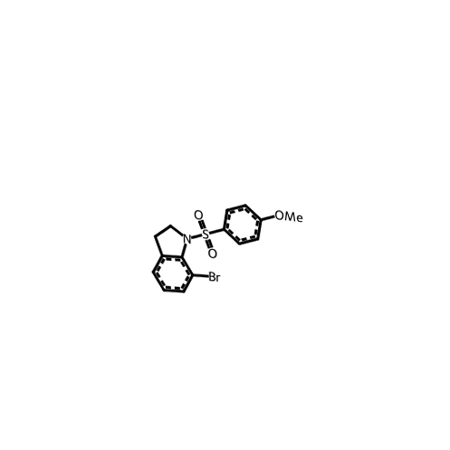 COc1ccc(S(=O)(=O)N2CCc3cccc(Br)c32)cc1